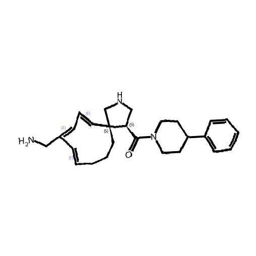 NCC1=C\C=C\[C@]2(CCC\C=C\1)CNC[C@H]2C(=O)N1CCC(c2ccccc2)CC1